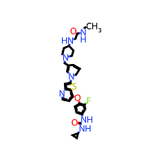 CCNC(=O)CNC1CCN(CC2=CN(c3cc4nccc(Oc5ccc(NC(=O)NC6CC6)cc5F)c4s3)CC=C2)CC1